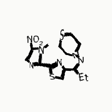 CCC(=NN1CCSCC1)c1csc(-c2ncc([N+](=O)[O-])n2C)n1